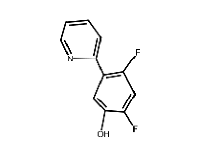 Oc1cc(-c2ccccn2)c(F)cc1F